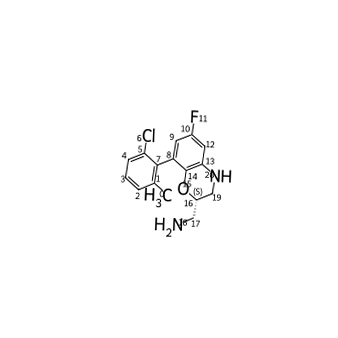 Cc1cccc(Cl)c1-c1cc(F)cc2c1O[C@@H](CN)CN2